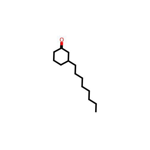 CCCCCCCCC1CCCC(=O)C1